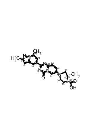 Cc1cc2cc(-c3nc(=O)n4cc(N5CCN(C(=O)O)[C@@H](C)C5)ccc4n3)cc(C)n2n1